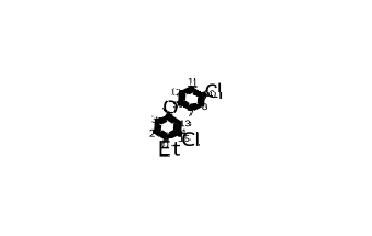 CCc1ccc(Oc2ccc(Cl)cc2)cc1Cl